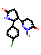 CC(C)n1nc(-c2ccc(=O)[nH]c2-c2ccc(F)cc2)ccc1=O